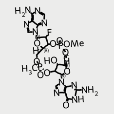 COP1(=O)OC[C@H]2O[C@@H](n3cnc4c(=O)[nH]c(N)nc43)C(OP(C)(=O)OC[C@H]3O[C@@H](n4cnc5c(N)ncnc54)C(F)C3O1)C2O